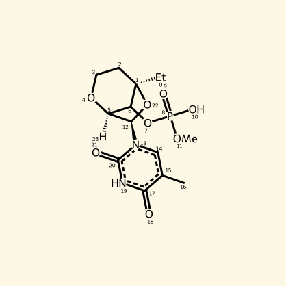 CC[C@@]12CCO[C@@H](C1OP(=O)(O)OC)[C@H](n1cc(C)c(=O)[nH]c1=O)O2